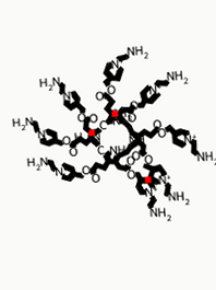 Cn1c2c(CC(=O)OCc3cc[n+](CCN)cc3)c(CCC(=O)OCc3cc[n+](CCN)cc3)c1Cc1c(CC(=O)OCc3cc[n+](CCN)cc3)c(CCC(=O)OCc3cc[n+](CCN)cc3)c(n1C)Cc1[nH]c(c(CC(=O)OCc3cc[n+](CCN)cc3)c1CCC(=O)OCc1cc[n+](CCN)cc1)Cc1[nH]c(c(CCC(=O)OCc3cc[n+](CCN)cc3)c1CC(=O)OCc1cc[n+](CCN)cc1)C2